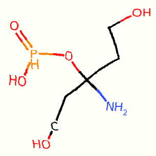 NC(CCO)(CCO)O[PH](=O)O